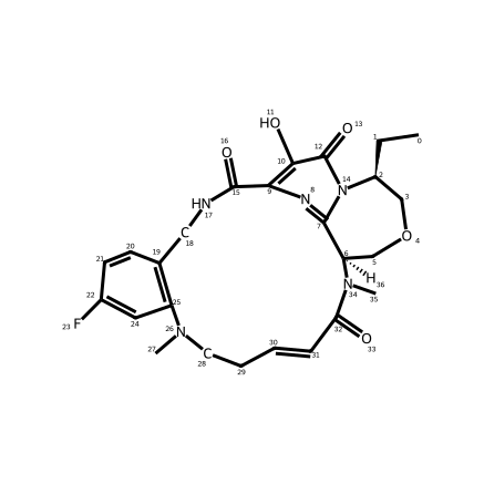 CC[C@H]1COC[C@@H]2c3nc(c(O)c(=O)n31)C(=O)NCc1ccc(F)cc1N(C)CC/C=C/C(=O)N2C